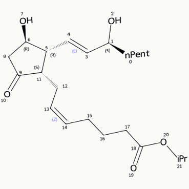 CCCCC[C@H](O)/C=C/[C@H]1[C@H](O)CC(=O)[C@H]1C/C=C\CCCC(=O)OC(C)C